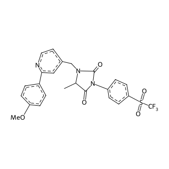 COc1ccc(-c2cc(CN3C(=O)N(c4ccc(S(=O)(=O)C(F)(F)F)cc4)C(=O)C3C)ccn2)cc1